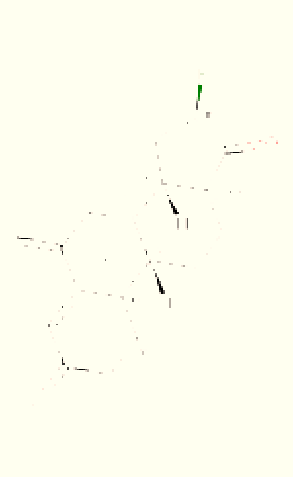 C=C1C[C@@H]2[C@H](CC[C@]3(C)C(=O)[C@H](F)C[C@@H]23)[C@]2(C)C1=CC(=O)C[C@H]2C